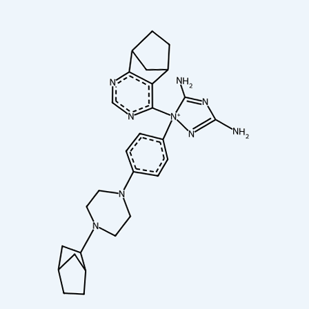 NC1=N[N+](c2ccc(N3CCN(C4CC5CCC4C5)CC3)cc2)(c2ncnc3c2C2CCC3C2)C(N)=N1